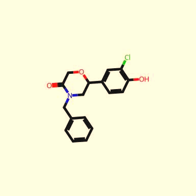 O=C1COC(c2ccc(O)c(Cl)c2)CN1Cc1ccccc1